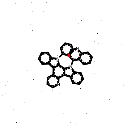 c1ccc(-n2c3ccccc3c3c4cccnc4c4c5ccccc5n(-c5ccnc6ccccc56)c4c32)cc1